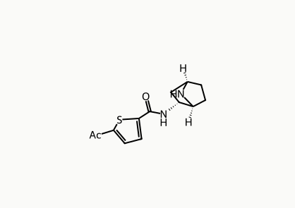 CC(=O)c1ccc(C(=O)N[C@@H]2C[C@H]3CC[C@@H]2N3)s1